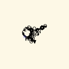 COc1ccc(-c2cc(O[C@@H]3C[C@H]4C(=O)N[C@]5(C(=O)NS(=O)(=O)C6CC6)C[C@H]5/C=C\CCCCN(C)C(=O)[C@@H]4C3)nc(OC)n2)cc1